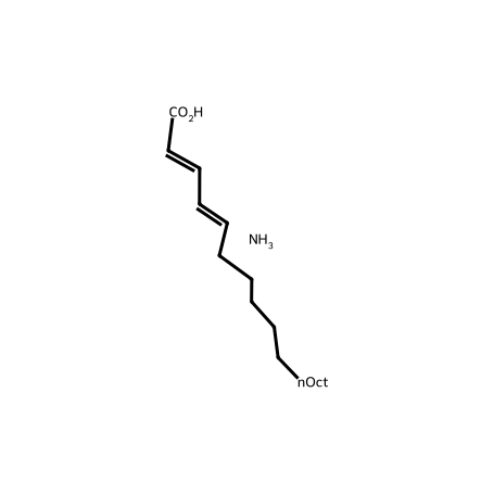 CCCCCCCCCCCCCC=CC=CC(=O)O.N